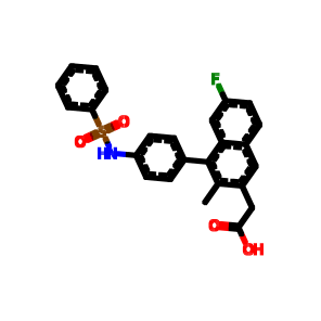 Cc1c(CC(=O)O)cc2ccc(F)cc2c1-c1ccc(NS(=O)(=O)c2ccccc2)cc1